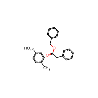 Cc1ccc(S(=O)(=O)O)cc1.O=C(Cc1ccccc1)OCc1ccccc1